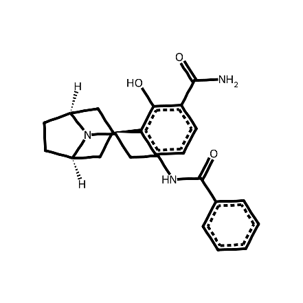 NC(=O)c1cccc([C@H]2C[C@H]3CC[C@@H](C2)N3CCCNC(=O)c2ccccc2)c1O